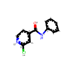 O=C(Nc1cc[c]cc1)c1ccnc(Cl)c1